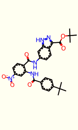 CC(C)(C)OC(=O)c1n[nH]c2cc(NC(=O)c3ccc([N+](=O)[O-])cc3NC(=O)c3ccc(C(C)(C)C)cc3)ccc12